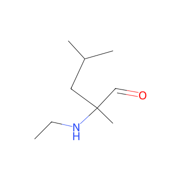 CCNC(C)(C=O)CC(C)C